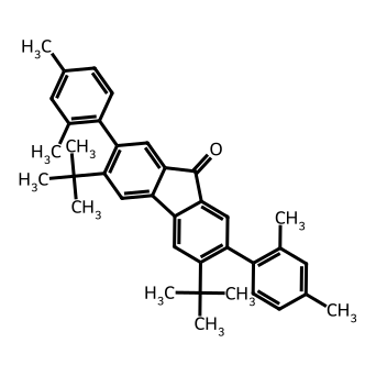 Cc1ccc(-c2cc3c(cc2C(C)(C)C)-c2cc(C(C)(C)C)c(-c4ccc(C)cc4C)cc2C3=O)c(C)c1